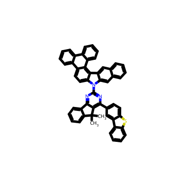 CC1(C)c2ccccc2-c2nc(-n3c4cc5ccccc5cc4c4c5c6ccccc6c6ccccc6c5ccc43)nc(-c3ccc4sc5ccccc5c4c3)c21